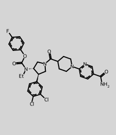 CCN(C(=O)Oc1ccc(F)cc1)[C@@H]1CN(C(=O)C2CCN(c3ccc(C(N)=O)cn3)CC2)C[C@H]1c1ccc(Cl)c(Cl)c1